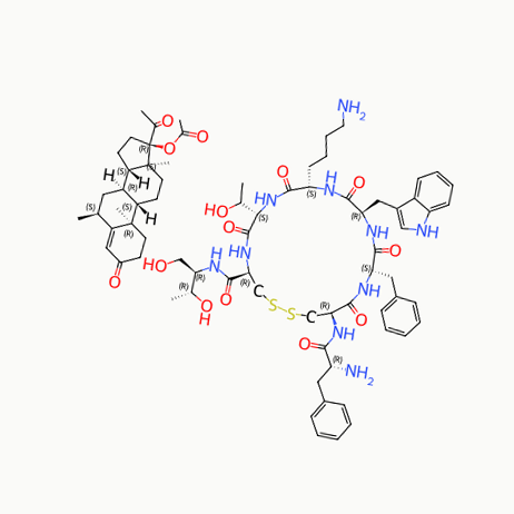 CC(=O)O[C@]1(C(C)=O)CC[C@H]2[C@@H]3C[C@H](C)C4=CC(=O)CC[C@]4(C)[C@H]3CC[C@@]21C.CC(O)[C@@H]1NC(=O)[C@H](CCCCN)NC(=O)[C@@H](Cc2c[nH]c3ccccc23)NC(=O)[C@H](Cc2ccccc2)NC(=O)[C@@H](NC(=O)[C@H](N)Cc2ccccc2)CSSC[C@@H](C(=O)N[C@H](CO)[C@@H](C)O)NC1=O